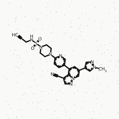 C#CCNS(=O)(=O)N1CCN(c2ccc(-c3cc(-c4cnn(C)c4)cn4ncc(C#N)c34)cn2)CC1